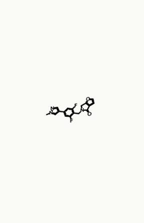 Cn1cc(-c2cc(F)c(CN3Cc4occc4C3=O)c(F)c2)cn1